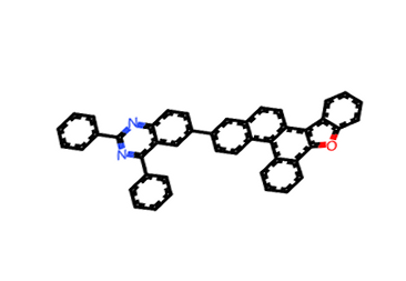 c1ccc(-c2nc(-c3ccccc3)c3cc(-c4ccc5c(ccc6c5c5ccccc5c5oc7ccccc7c65)c4)ccc3n2)cc1